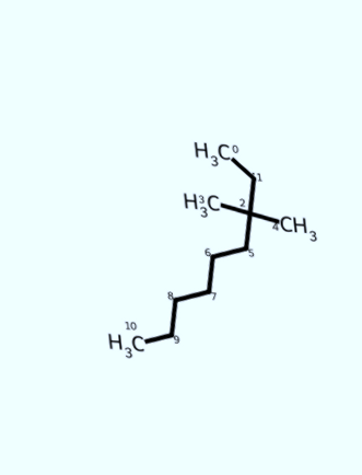 C[CH]C(C)(C)CCCCCC